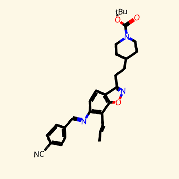 CC=Cc1c(N=Cc2ccc(C#N)cc2)ccc2c(CCC3CCN(C(=O)OC(C)(C)C)CC3)noc12